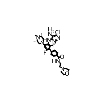 C[C@@H]1CN(c2cc(F)c(-c3ccc(C(=O)NCCN4CCOCC4)cc3)c(F)c2Nc2ncnc(Cl)c2N)C[C@H](C)N1C